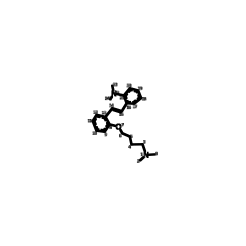 CN(C)CCCCOc1ccccc1C=Cc1ccccc1N(C)C